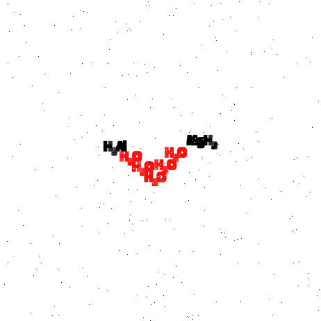 O.O.O.O.O.[AlH3].[MgH2]